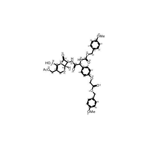 COc1ccc(COC(=O)COc2ccc(C(NC(=O)OCc3ccc(OC)cc3)C(=O)N[C@@H]3C(=O)N4C(C(=O)O)=C(COC(C)=O)CS[C@@H]34)cc2)cc1